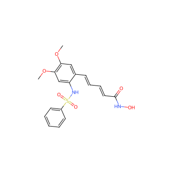 COc1cc(C=CC=CC(=O)NO)c(NS(=O)(=O)c2ccccc2)cc1OC